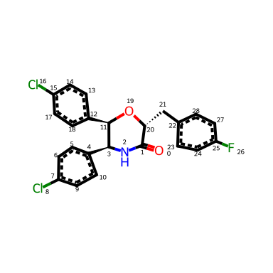 O=C1N[C@@H](c2ccc(Cl)cc2)[C@@H](c2ccc(Cl)cc2)O[C@@H]1Cc1ccc(F)cc1